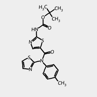 Cc1ccc(N(C(=O)c2cnc(NC(=O)OC(C)(C)C)s2)c2nccs2)cc1